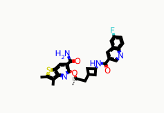 Cc1sc2cc(C(N)=O)c(O[C@@H](C)CC3CC(NC(=O)c4cnc5ccc(F)cc5c4)C3)nc2c1C